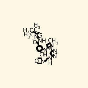 Cc1cc(Nc2cc(C(=O)Nc3nc(C(C)(C)C)cs3)ccc2C)n(-c2cc(NCCN3CCOCC3)ncn2)n1